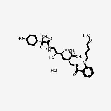 COCCCCOc1ccccc1C(=O)NC[C@@H](C[C@H](N)[C@@H](O)CNC(=O)C(C)(C)[C@H]1CC[C@H](O)CC1)C(C)C.Cl